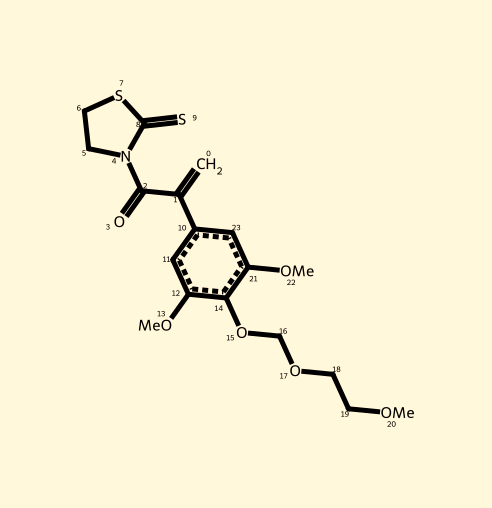 C=C(C(=O)N1CCSC1=S)c1cc(OC)c(OCOCCOC)c(OC)c1